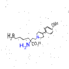 BCCCCC(N)(CCN1CC=C(c2ccc(OC)cc2)CC1)C(=O)O